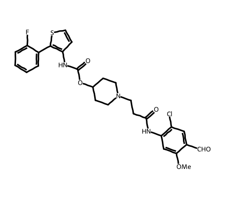 COc1cc(NC(=O)CCN2CCC(OC(=O)Nc3ccsc3-c3ccccc3F)CC2)c(Cl)cc1C=O